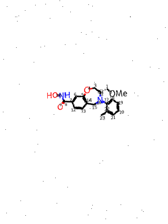 COC[C@H]1COc2cc(C(=O)NO)ccc2CN1c1ccccc1C